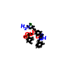 Cc1ccc(S(=O)(=O)O)cc1.NC/C(=C\F)COc1ccc2nc(NCc3ccccc3)oc2c1